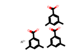 Cc1cc(C)cc(C(=O)[O-])c1.Cc1cc(C)cc(C(=O)[O-])c1.Cc1cc(C)cc(C(=O)[O-])c1.[Al+3]